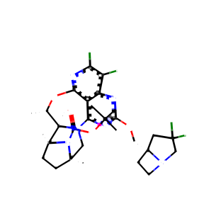 C[C@@H]1Oc2nc(Cl)c(F)c3nc(OC[C@@]45CCN4CC(F)(F)C5)nc(c23)N2C[C@H]3CC[C@@H]([C@@H]12)N3C(=O)OC(C)(C)C